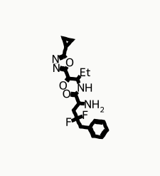 CCC(NC(=O)C(N)CC(F)(F)Cc1ccccc1)C(=O)c1nnc(C2CC2)o1